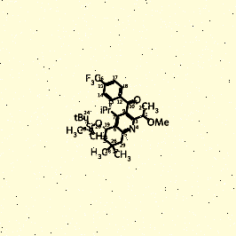 COC(C)c1nc2c(c(C(C)C)c1C(=O)c1ccc(C(F)(F)F)cc1)[C@@H](O[Si](C)(C)C(C)(C)C)CC(C)(C)C2